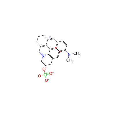 CN(C)c1ccc(/C=C2/CCCc3c[n+]4c5c(cccc5c32)CCC4)cc1.[O-][Cl+3]([O-])([O-])[O-]